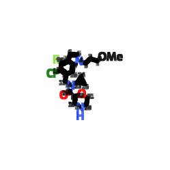 COCCCn1ccc2c(F)c(Cl)c(CN(C(=O)[C@H]3CNCCO3)C3CC3)cc21